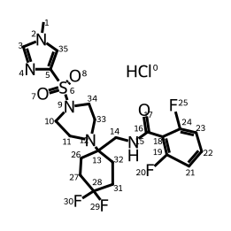 Cl.Cn1cnc(S(=O)(=O)N2CCN(C3(CNC(=O)c4c(F)cccc4F)CCC(F)(F)CC3)CC2)c1